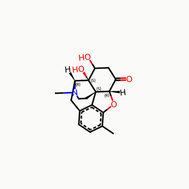 Cc1ccc2c3c1O[C@H]1C(=O)CC(O)[C@@]4(O)[C@@H](C2)N(C)CC[C@]314